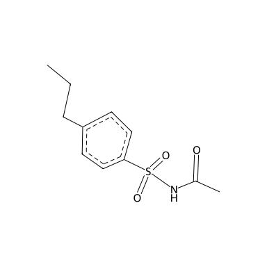 CCCc1ccc(S(=O)(=O)NC(C)=O)cc1